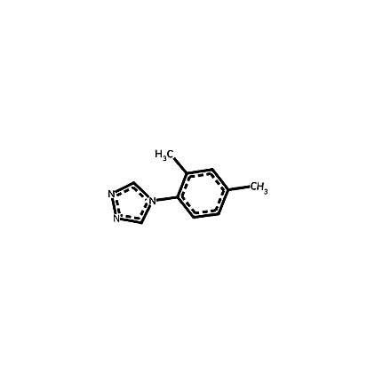 Cc1ccc(-n2cnnc2)c(C)c1